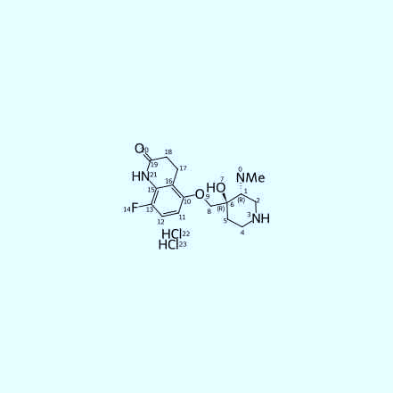 CN[C@@H]1CNCC[C@]1(O)COc1ccc(F)c2c1CCC(=O)N2.Cl.Cl